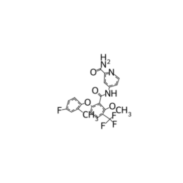 COc1c(C(F)(F)F)ccc(Oc2ccc(F)cc2C)c1C(=O)Nc1ccnc(C(N)=O)c1